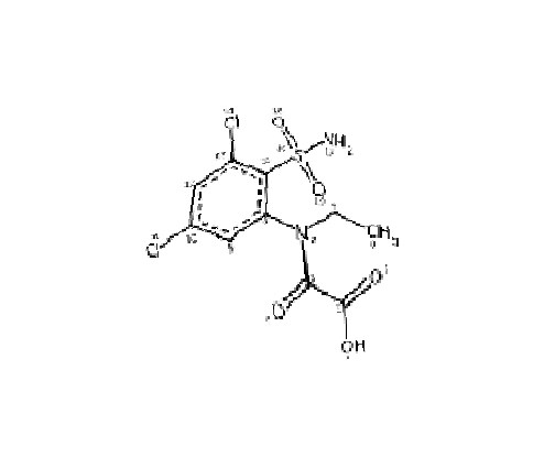 CCN(C(=O)C(=O)O)c1cc(Cl)cc(Cl)c1S(N)(=O)=O